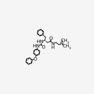 CN(C)CCNC(=O)C[C@H](Cc1ccccc1)NC(=O)Nc1ccc(Oc2ccccc2)cc1